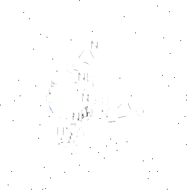 COc1ccc2c(O[C@@H]3C[C@H]4C(=O)NC5(C(=O)NS(=O)(=O)C6(C)CC6)CC5/C=C\CC[C@@H](C)C[C@@H](C)[C@H](NC(=O)c5ccc(N(C)C)cc5)C(=O)N4C3)nccc2c1